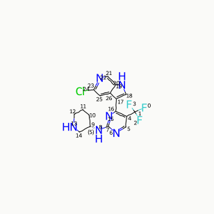 FC(F)(F)c1cnc(N[C@H]2CCCNC2)nc1-c1c[nH]c2cnc(Cl)cc12